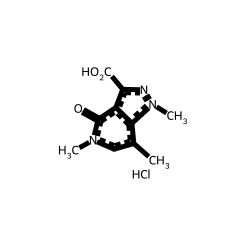 Cc1cn(C)c(=O)c2c(C(=O)O)nn(C)c12.Cl